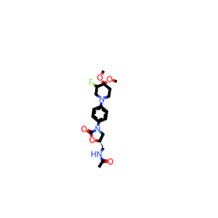 COC1(OC)CCN(c2ccc(N3C[C@H](CNC(C)=O)OC3=O)cc2)CC1F